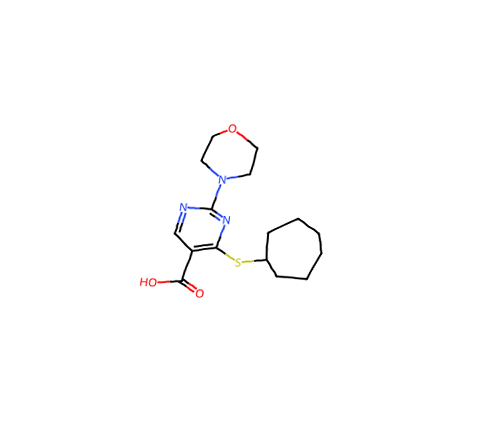 O=C(O)c1cnc(N2CCOCC2)nc1SC1CCCCCC1